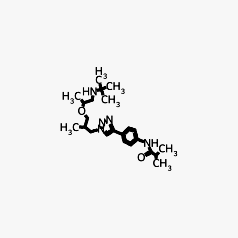 CC(COC(C)CNC(C)(C)C)Cn1cc(-c2ccc(NC(=O)C(C)C)cc2)nn1